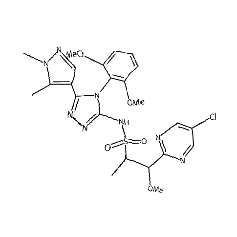 COc1cccc(OC)c1-n1c(NS(=O)(=O)C(C)C(OC)c2ncc(Cl)cn2)nnc1-c1cnn(C)c1C